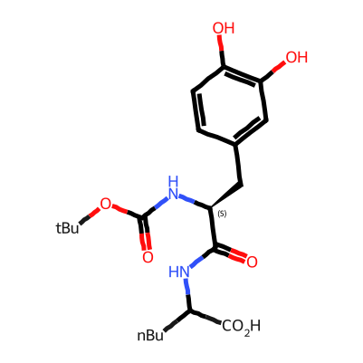 CCCCC(NC(=O)[C@H](Cc1ccc(O)c(O)c1)NC(=O)OC(C)(C)C)C(=O)O